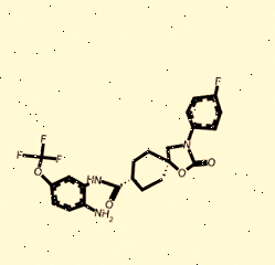 Nc1ccc(OC(F)(F)F)cc1NC(=O)[C@H]1CC[C@]2(CC1)CN(c1ccc(F)cc1)C(=O)O2